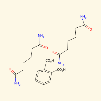 NC(=O)CCCCC(N)=O.NC(=O)CCCCC(N)=O.O=C(O)c1ccccc1C(=O)O